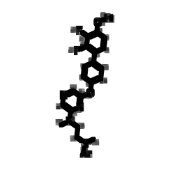 CCOc1ccc(-c2ccc(Oc3cncc(N(C)CCN(C)C(C)=O)n3)cc2)c(F)c1F